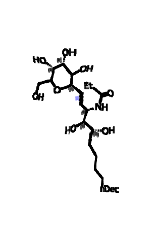 CCCCCCCCCCCCCC[C@@H](O)[C@@H](O)[C@H](/C=C/[C@H]1OC(CO)[C@H](O)[C@H](O)C1O)NC(=O)CC